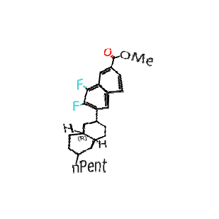 CCCCCC1CC[C@@H]2CC(c3cc4ccc(C(=O)OC)cc4c(F)c3F)CC[C@H]2C1